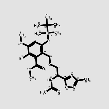 COC(=O)c1c(Br)c(OC)cc(O[Si](C)(C)C(C)(C)C)c1CSCC(NC(C)=O)c1nc(C)no1